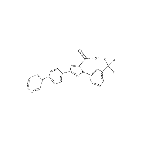 O=C(O)c1cc(-c2ccc(-c3ccccc3)cc2)nn1-c1cccc(C(F)(F)F)c1